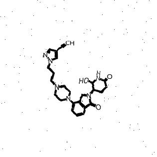 C#Cc1cnn(CCCN2CCN(c3cccc4c3CN(C3CCC(=O)NC3O)C4=O)CC2)c1